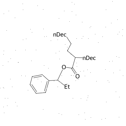 CCCCCCCCCCCCC(CCCCCCCCCC)C(=O)OC(CC)c1ccccc1